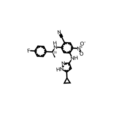 C[C@H](Nc1cc(Nc2cc(C3CC3)[nH]n2)c([N+](=O)[O-])cc1C#N)c1ccc(F)cc1